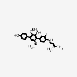 COc1cc(-c2ccc(O)cc2)c(OC)c(O)c1-c1ccc(NCC=C(C)C)c(F)c1